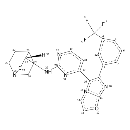 FC(F)(F)c1cccc(-c2nc3occn3c2-c2ccnc(N[C@@H]3CN4CCC3CC4)n2)c1